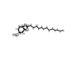 CCCCCCCCCCCCCc1nc2ccc(O)cc2o1